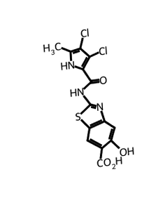 Cc1[nH]c(C(=O)Nc2nc3cc(O)c(C(=O)O)cc3s2)c(Cl)c1Cl